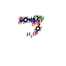 COc1ccc(COC(=O)C2=C(CCl)CS[C@@H]3C(N=Cc4ccc([N+](=O)[O-])cc4)C(=O)N23)cc1